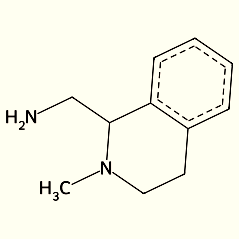 CN1CCc2ccccc2C1CN